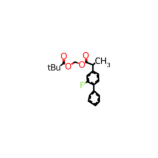 CC(C(=O)OCOC(=O)C(C)(C)C)c1ccc(-c2ccccc2)c(F)c1